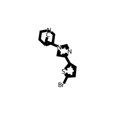 Brc1ccc(-c2cn(C3CN4CCC3CC4)cn2)s1